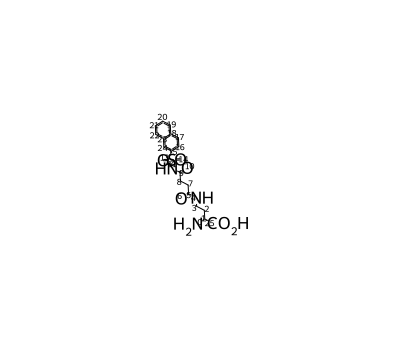 NC(CCNC(=O)CCC(=O)NS(=O)(=O)c1ccc2ccccc2c1)C(=O)O